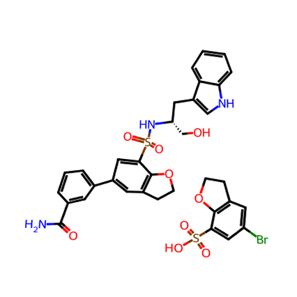 NC(=O)c1cccc(-c2cc3c(c(S(=O)(=O)N[C@@H](CO)Cc4c[nH]c5ccccc45)c2)OCC3)c1.O=S(=O)(O)c1cc(Br)cc2c1OCC2